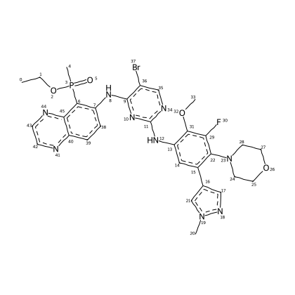 CCOP(C)(=O)c1c(Nc2nc(Nc3cc(-c4cnn(C)c4)c(N4CCOCC4)c(F)c3OC)ncc2Br)ccc2nccnc12